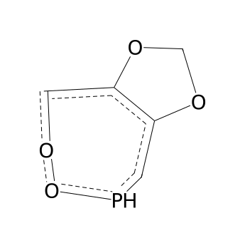 c1oo[pH]cc2c1OCO2